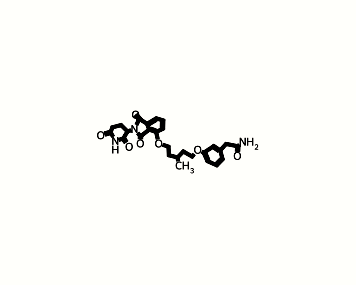 CC(CCOc1cccc(CC(N)=O)c1)CCOc1cccc2c1C(=O)N(C1CCC(=O)NC1=O)C2=O